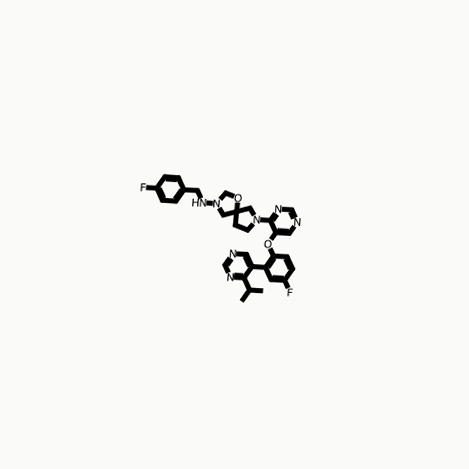 CC(C)c1ncncc1-c1cc(F)ccc1Oc1cncnc1N1CCC2(CN(NCc3ccc(F)cc3)CO2)C1